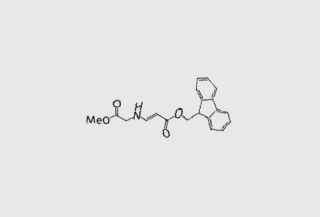 COC(=O)CNC=CC(=O)OCC1c2ccccc2-c2ccccc21